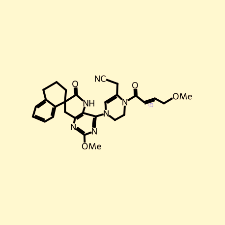 COC/C=C/C(=O)N1CCN(c2nc(OC)nc3c2NC(=O)C2(CCCc4ccccc42)C3)C=C1CC#N